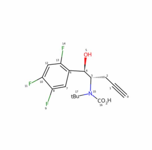 C#CC[C@@H]([C@H](O)c1cc(F)c(F)cc1F)N(C(=O)O)C(C)(C)C